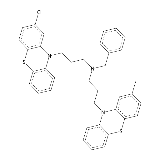 Cc1ccc2c(c1)N(CCCN(CCCN1c3ccccc3Sc3ccc(Cl)cc31)Cc1ccccc1)c1ccccc1S2